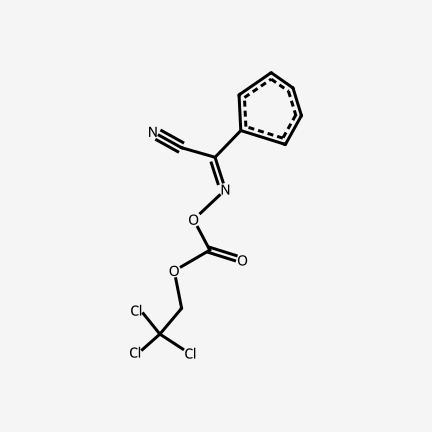 N#CC(=NOC(=O)OCC(Cl)(Cl)Cl)c1ccccc1